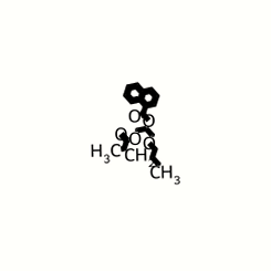 C=C(C)C(=O)OCC(COCCCC)OC(=O)c1cccc2ccccc12